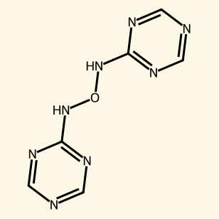 c1ncnc(NONc2ncncn2)n1